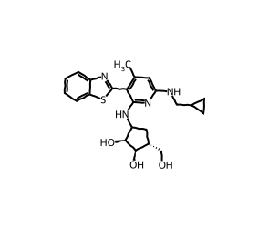 Cc1cc(NCC2CC2)nc(NC2C[C@H](CO)[C@@H](O)[C@H]2O)c1-c1nc2ccccc2s1